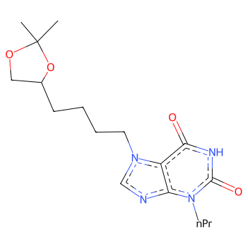 CCCn1c(=O)[nH]c(=O)c2c1ncn2CCCCC1COC(C)(C)O1